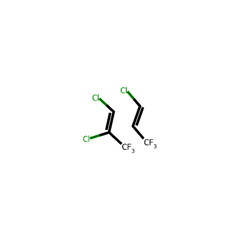 FC(F)(F)C(Cl)=CCl.FC(F)(F)C=CCl